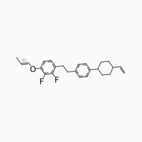 C=CC1CCC(c2ccc(CCc3ccc(O/C=C/C)c(F)c3F)cc2)CC1